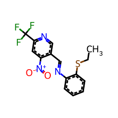 CCSc1ccccc1N=Cc1cnc(C(F)(F)F)cc1[N+](=O)[O-]